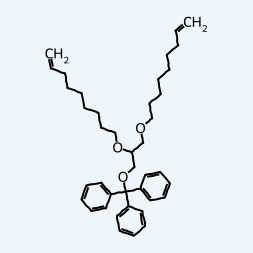 C=CCCCCCCCOCC(COC(c1ccccc1)(c1ccccc1)c1ccccc1)OCCCCCCCC=C